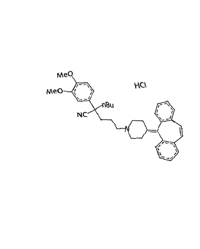 CCCCC(C#N)(CCCN1CCC(=C2c3ccccc3C=Cc3ccccc32)CC1)c1ccc(OC)c(OC)c1.Cl